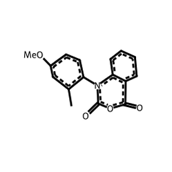 COc1ccc(-n2c(=O)oc(=O)c3ccccc32)c(C)c1